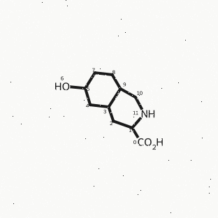 O=C(O)C1CC2CC(O)CCC2CN1